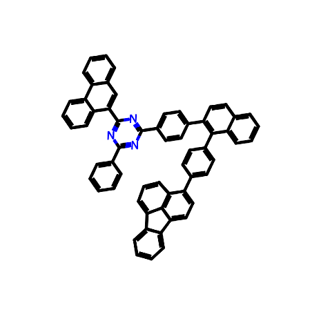 c1ccc(-c2nc(-c3ccc(-c4ccc5ccccc5c4-c4ccc(-c5ccc6c7c(cccc57)-c5ccccc5-6)cc4)cc3)nc(-c3cc4ccccc4c4ccccc34)n2)cc1